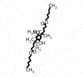 CCCCCCCOC(=O)CCCC(C)(C)c1cc(OC)c(C(C)(C)CCCC(=O)OCCCCCCC)cc1O